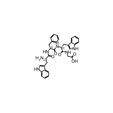 N[C@@H](Cc1c[nH]c2ccccc12)C(=O)N[C@@H](Cc1ccccc1)C(=O)N[C@@H](Cc1c[nH]c2ccccc12)C(=O)NCC(=O)O